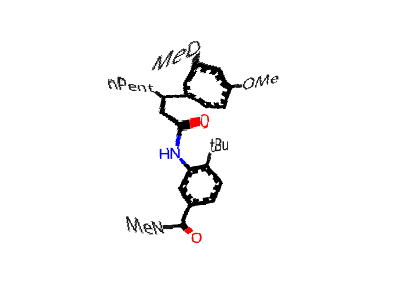 CCCCCC(CC(=O)Nc1cc(C(=O)NC)ccc1C(C)(C)C)c1ccc(OC)cc1OC